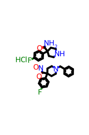 Cl.NC(=O)C1(c2ccc(F)cc2)CCNCC1.O=NC(=O)C1(c2ccc(F)cc2)CCN(Cc2ccccc2)CC1